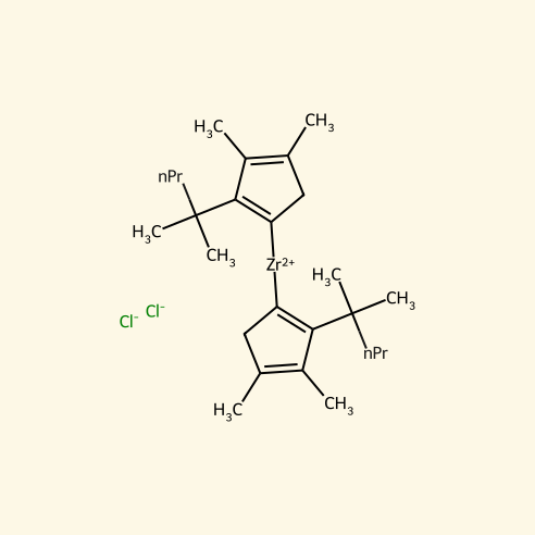 CCCC(C)(C)C1=[C]([Zr+2][C]2=C(C(C)(C)CCC)C(C)=C(C)C2)CC(C)=C1C.[Cl-].[Cl-]